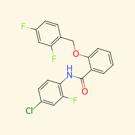 O=C(Nc1ccc(Cl)cc1F)c1ccccc1OCc1ccc(F)cc1F